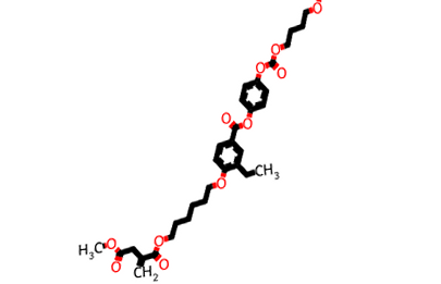 C=CC(=O)OCCCCOC(=O)Oc1ccc(OC(=O)c2ccc(OCCCCCCOC(=O)C(=C)CC(=O)OC)c(CC)c2)cc1